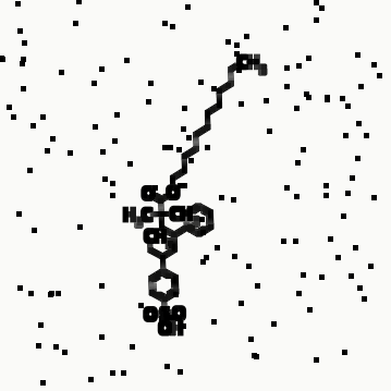 CCCCCCCCCCCCOC(=O)C(C)(C)CC(CC(CC)c1ccc(S(=O)(=O)O)cc1)c1ccccc1